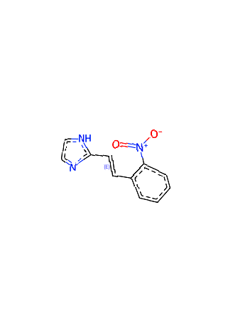 O=[N+]([O-])c1ccccc1/C=C/c1ncc[nH]1